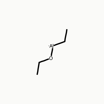 CC[O][Al][CH2]C